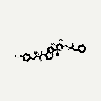 Cc1ccc(C[C@H](N)C(=O)Nc2ncnn3c([C@]4(C#N)O[C@H](COC(=O)Cc5ccccc5)[C@@H](O)[C@H]4O)ccc23)cc1